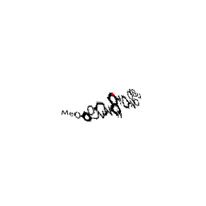 COc1ccc(CN2CN(c3cncc4c(N5CCC(N(C)C(=O)OC(C)(C)C)CC5)cccc34)CCC2=O)cc1